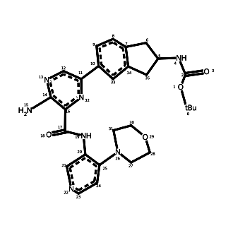 CC(C)(C)OC(=O)NC1Cc2ccc(-c3cnc(N)c(C(=O)Nc4cnccc4N4CCOCC4)n3)cc2C1